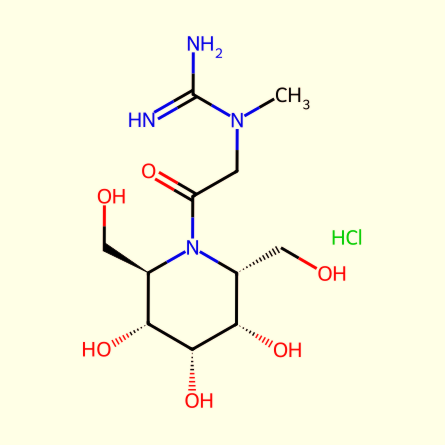 CN(CC(=O)N1[C@H](CO)[C@H](O)[C@H](O)[C@H](O)[C@H]1CO)C(=N)N.Cl